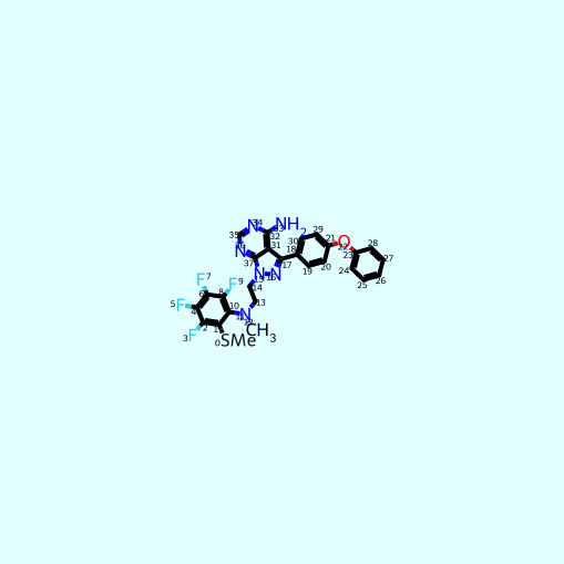 CSc1c(F)c(F)c(F)c(F)c1N(C)CCn1nc(-c2ccc(Oc3ccccc3)cc2)c2c(N)ncnc21